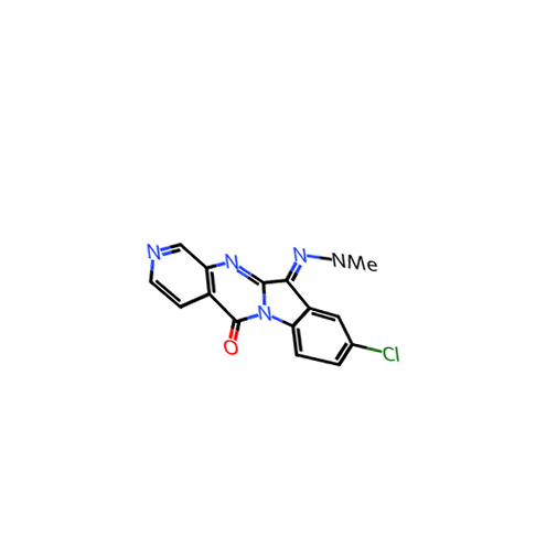 CN/N=C1\c2cc(Cl)ccc2-n2c1nc1cnccc1c2=O